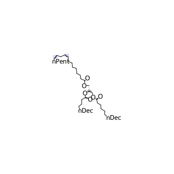 CCCCC/C=C\C/C=C\CCCCCCCC(=O)OC[C@H](COC(=O)CCCCCCCCCCCCCCC)OC(=O)CCCCCCCCCCCCC